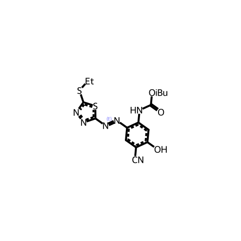 CCSc1nnc(/N=N/c2cc(C#N)c(O)cc2NC(=O)OCC(C)C)s1